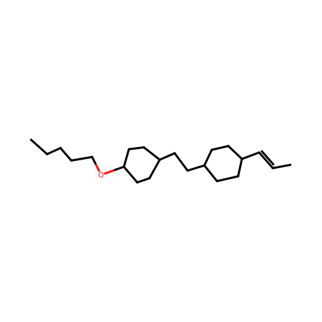 CC=CC1CCC(CCC2CCC(OCCCCC)CC2)CC1